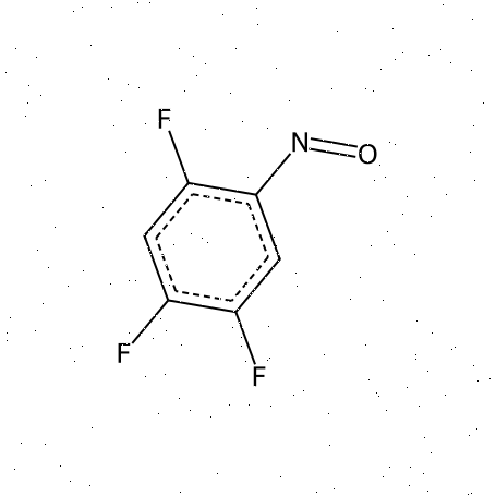 O=Nc1cc(F)c(F)cc1F